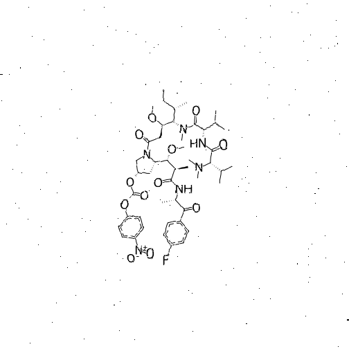 CC[C@H](C)[C@@H]([C@@H](CC(=O)N1C[C@@H](OC(=O)Oc2ccc([N+](=O)[O-])cc2)C[C@H]1[C@H](OC)[C@@H](C)C(=O)N[C@@H](C)C(=O)c1ccc(F)cc1)OC)N(C)C(=O)[C@@H](NC(=O)[C@H](C(C)C)N(C)C)C(C)C